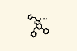 [CH2]Oc1c(Cc2ccco2)nc2c(Cc3ccccc3)nc(-c3ccccc3)cn12